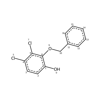 Oc1ccc(Cl)c(Cl)c1OCc1ccccc1